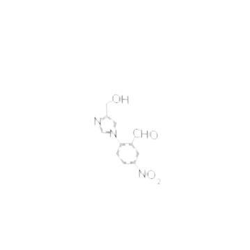 O=Cc1cc([N+](=O)[O-])ccc1-n1cnc(CO)c1